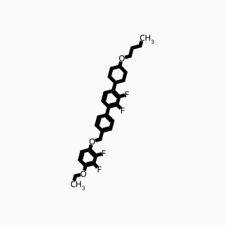 CCCCOC1CCC(c2ccc(-c3ccc(COc4ccc(OCC)c(F)c4F)cc3)c(F)c2F)CC1